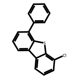 Clc1cccc2c1sc1c(-c3ccccc3)cccc12